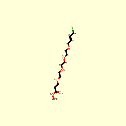 CC(C)(C)OC(=O)CCOCCOCCOCCOCC=CCBr